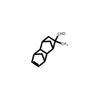 CC1(C=O)CC2CC1C1C3C=CC(C3)C21